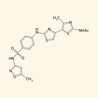 CC(=O)Nc1nc(C)c(-c2csc(Nc3ccc(S(=O)(=O)Nc4cc(C)on4)cc3)n2)s1